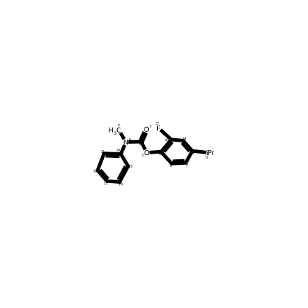 CC(C)c1ccc(OC(=O)N(C)c2ccccc2)c(F)c1